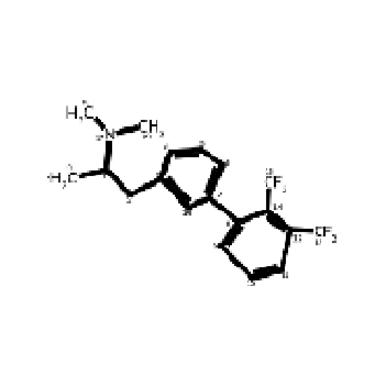 [CH2]C(Cc1cccc(-c2cccc(C(F)(F)F)c2C(F)(F)F)c1)N(C)C